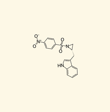 O=[N+]([O-])c1ccc(S(=O)(=O)N2C[C@@H]2Cc2c[nH]c3ccccc23)cc1